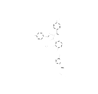 COc1c(OCc2ccc(C(=O)ON)o2)cccc1C1SC(c2ccc(F)cc2)=NN1C(=O)c1ccc(C(C)(C)C)cc1